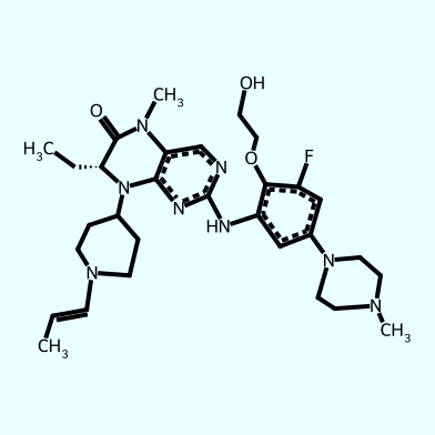 CC=CN1CCC(N2c3nc(Nc4cc(N5CCN(C)CC5)cc(F)c4OCCO)ncc3N(C)C(=O)[C@H]2CC)CC1